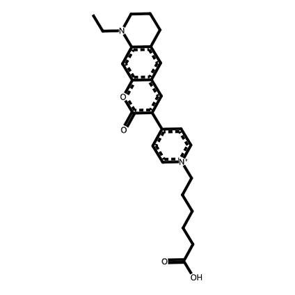 CCN1CCCc2cc3cc(-c4cc[n+](CCCCCC(=O)O)cc4)c(=O)oc3cc21